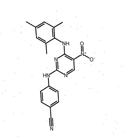 Cc1cc(C)c(Nc2nc(Nc3ccc(C#N)cc3)ncc2[N+](=O)[O-])c(C)c1